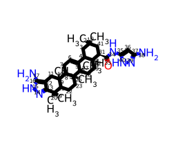 CC1(C)CC2C3=CCC4[C@@]5(C)Cc6c(n[nH]c6N)C(C)(C)C5CC[C@@]4(C)[C@]3(C)CC[C@@H]2[C@H](C(=O)Nc2cc(N)n[nH]2)C1